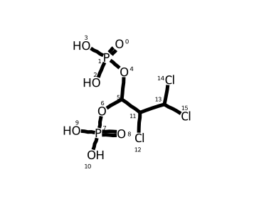 O=P(O)(O)OC(OP(=O)(O)O)C(Cl)C(Cl)Cl